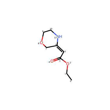 CCOC(=O)C=C1COCCN1